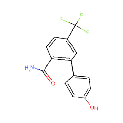 NC(=O)c1ccc(C(F)(F)F)cc1-c1ccc(O)cc1